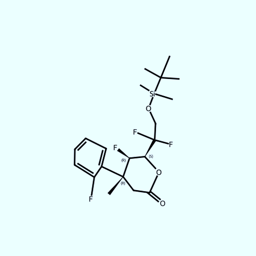 CC(C)(C)[Si](C)(C)OCC(F)(F)[C@H]1OC(=O)C[C@](C)(c2ccccc2F)[C@H]1F